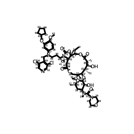 CC[C@H]1OC(=O)[C@H](C)[C@@H](O)[C@H](C)C(O[C@@H]2O[C@H](C)C[C@H](N(C)C(=O)N3CCOCC3)[C@H]2O)[C@](C)(OC)CCC(=O)[C@H](C)[C@H]2N(CCCN(Cc3c(Cl)cncc3Cl)c3ccc(OC)c(OC4CCCC4)c3)C(=O)O[C@]12C